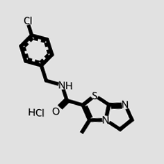 CC1=C(C(=O)NCc2ccc(Cl)cc2)SC2=NCCN21.Cl